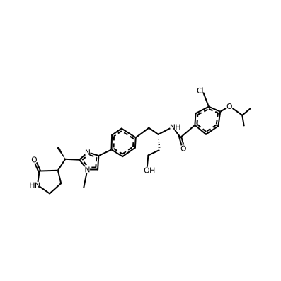 CC(C)Oc1ccc(C(=O)N[C@H](CCO)Cc2ccc(-c3cn(C)c([C@H](C)C4CCNC4=O)n3)cc2)cc1Cl